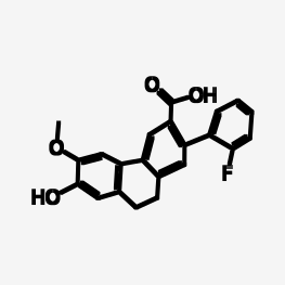 COc1cc2c(cc1O)CCc1cc(-c3ccccc3F)c(C(=O)O)cc1-2